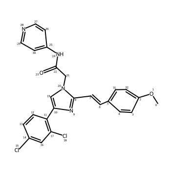 COc1ccc(C=Cc2nc(-c3ccc(Cl)cc3Cl)cn2CC(=O)Nc2ccncc2)cc1